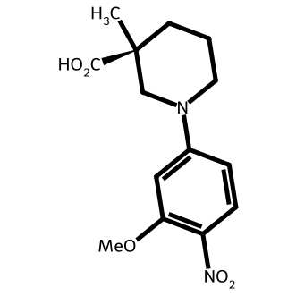 COc1cc(N2CCC[C@](C)(C(=O)O)C2)ccc1[N+](=O)[O-]